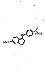 COc1ccc2c(Nc3ccc([SH](=N)=O)cc3)ccnc2c1